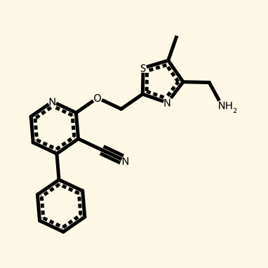 Cc1sc(COc2nccc(-c3ccccc3)c2C#N)nc1CN